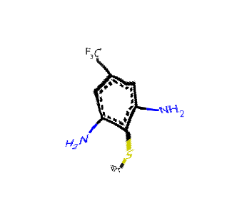 CC(C)Sc1c(N)cc(C(F)(F)F)cc1N